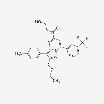 CCOCc1nn2c(-c3cccc(C(F)(F)F)c3)cc(N(C)CCO)nc2c1-c1ccc(C)cc1